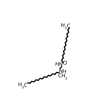 CCCCCCCCCCCCCCCCCC(=O)NCCNC(C)CCCCCCCCCCCCCCCC